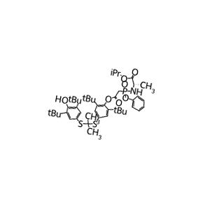 CC(C)OC(=O)[C@H](C)NP(=O)(CC(=O)Oc1c(C(C)(C)C)cc(SC(C)(C)Sc2cc(C(C)(C)C)c(O)c(C(C)(C)C)c2)cc1C(C)(C)C)Oc1ccccc1